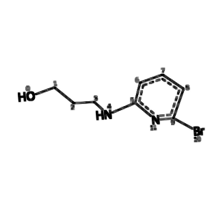 OCCCNc1cccc(Br)n1